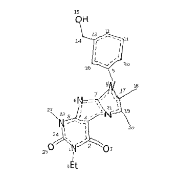 CCn1c(=O)c2c(nc3n(-c4cccc(CO)c4)c(C)c(C)n23)n(C)c1=O